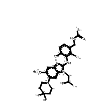 CC(C)(C)C(=O)NCc1ccc(Cl)c(Nc2nc3cc(C(=O)O)c(N4CCC(F)(F)CC4)cc3n2CC(F)F)c1Cl